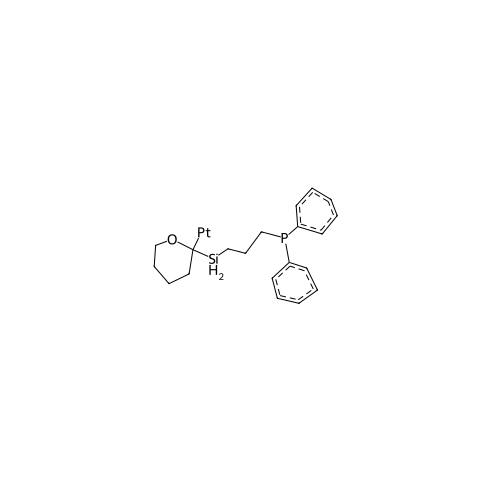 [Pt][C]1([SiH2]CCCP(c2ccccc2)c2ccccc2)CCCCO1